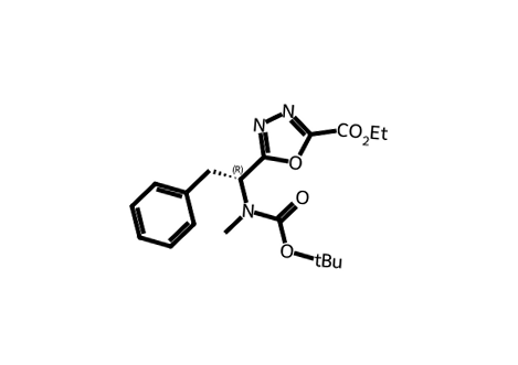 CCOC(=O)c1nnc([C@@H](Cc2ccccc2)N(C)C(=O)OC(C)(C)C)o1